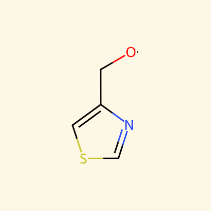 [O]Cc1cscn1